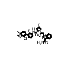 Cn1cnc2c(Cl)c(-c3cccc(NC(=O)[C@@H]4C[C@@H](F)CN4C(=O)Cn4nc(C(N)=O)c5ccccc54)c3F)ccc21